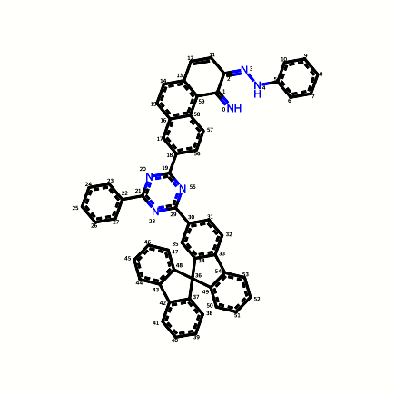 N=C1/C(=N\Nc2ccccc2)C=Cc2ccc3cc(-c4nc(-c5ccccc5)nc(-c5ccc6c(c5)C5(c7ccccc7-c7ccccc75)c5ccccc5-6)n4)ccc3c21